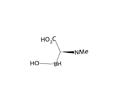 CN[C@@H](BO)C(=O)O